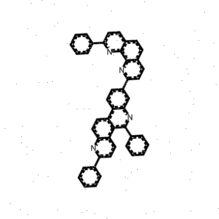 c1ccc(-c2ccc3c(ccc4c5ccc(-c6ccc7ccc8ccc(-c9ccccc9)nc8c7n6)cc5nc(-c5ccccc5)c34)n2)cc1